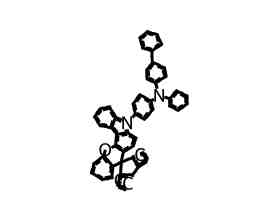 c1ccc(-c2ccc(N(c3ccccc3)c3ccc(-n4c5ccccc5c5c6c(ccc54)C4(c5ccccc5O6)c5ccccc5-c5ccccc54)cc3)cc2)cc1